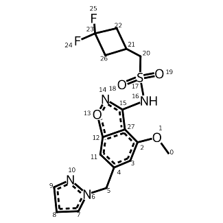 COc1cc(Cn2cccn2)cc2onc(NS(=O)(=O)CC3CC(F)(F)C3)c12